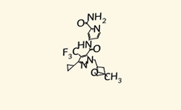 CC12COC(Cn3nc(C4CC4)c(C(F)(F)F)c3C(=O)Nc3ccnc(C(N)=O)c3)(C1)C2